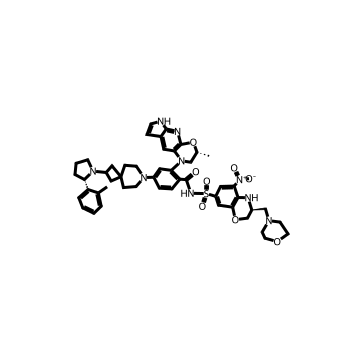 Cc1ccccc1[C@@H]1CCCN1C1CC2(CCN(c3ccc(C(=O)NS(=O)(=O)c4cc5c(c([N+](=O)[O-])c4)N[C@@H](CN4CCOCC4)CO5)c(N4C[C@@H](C)Oc5nc6[nH]ccc6cc54)c3)CC2)C1